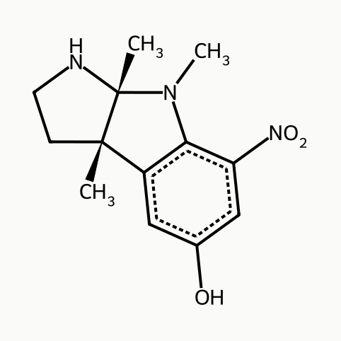 CN1c2c([N+](=O)[O-])cc(O)cc2[C@]2(C)CCN[C@]12C